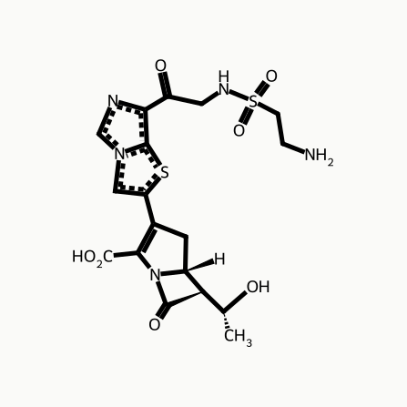 C[C@@H](O)[C@H]1C(=O)N2C(C(=O)O)=C(c3cn4cnc(C(=O)CNS(=O)(=O)CCN)c4s3)C[C@H]12